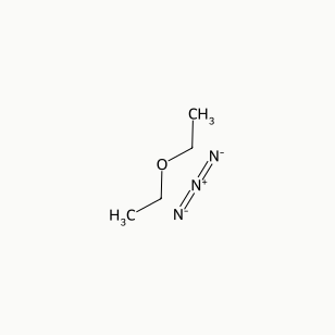 CCOCC.[N-]=[N+]=[N-]